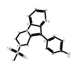 CS(=O)(=O)N1CCn2c(c(-c3ccc(Cl)cc3)c3ncccc32)C1